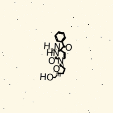 NC1(C(=O)c2ccccc2)C=CN([C@H]2CC[C@@H](CO)O2)C(=O)N1